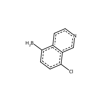 Bc1ccc(Cl)c2cnccc12